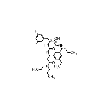 CCCC(NC[C@H](O)[C@H](Cc1cc(F)cc(F)c1)NC(=O)NCCC(=O)N(CCC)CCC)c1cccc(CC)c1